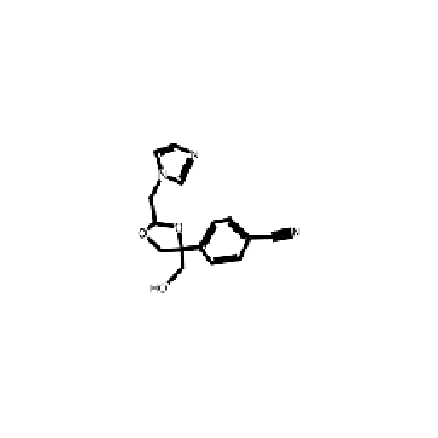 N#Cc1ccc(C2(CO)COC(Cn3ccnc3)O2)cc1